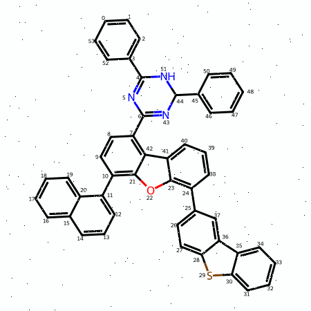 c1ccc(C2=NC(c3ccc(-c4cccc5ccccc45)c4oc5c(-c6ccc7sc8ccccc8c7c6)cccc5c34)=NC(c3ccccc3)N2)cc1